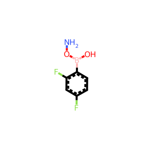 NOB(O)c1ccc(F)cc1F